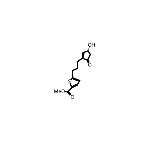 COC(=O)c1ccc(CCCC2=C[C@H](O)CC2=O)s1